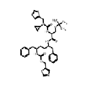 CC(C)(C)OCC(NC(=O)N(Cc1cncs1)C1CC1)C(=O)NC(CCC(Cc1ccccc1)NC(=O)OCc1cncs1)Cc1ccccc1